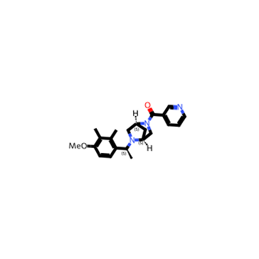 COc1ccc([C@H](C)N2C[C@@H]3C[C@H]2CN3C(=O)c2cccnc2)c(C)c1C